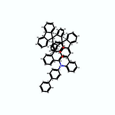 c1ccc(-c2ccc(N(c3ccccc3-c3ccc4c(c3)-c3ccccc3C43c4ccccc4C4(c5ccccc5-c5ccccc54)c4ccccc43)c3cc4ccccc4c4ccccc34)cc2)cc1